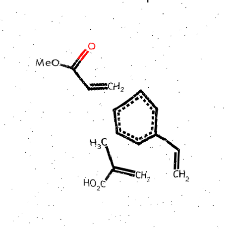 C=C(C)C(=O)O.C=CC(=O)OC.C=Cc1ccccc1